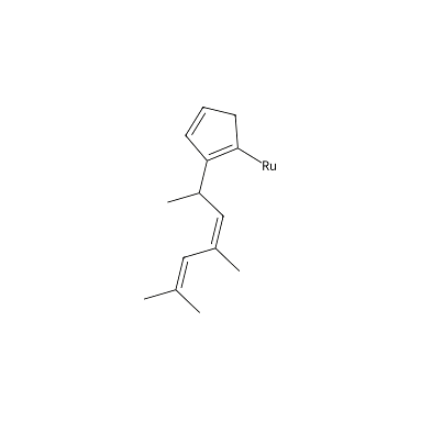 CC(C)=CC(C)=CC(C)C1=[C]([Ru])CC=C1